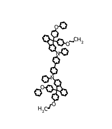 C=CCOc1ccc(C2(c3ccc(Oc4ccccc4)cc3)c3ccccc3-c3ccc(N(c4ccccc4)c4ccc(-c5ccc(N(c6ccccc6)c6ccc7c(c6)C(c6ccc(OCC=C)cc6)(C6C=CC(Oc8ccccc8)=CC6)c6ccccc6-7)cc5)cc4)cc32)cc1